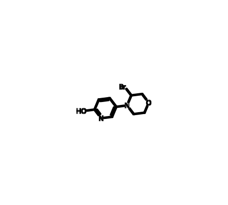 Oc1ccc(N2CCOCC2Br)cn1